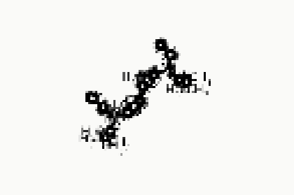 CC1(C)CC(C)(C)c2cc(-c3nc(-c4cccc(-c5ccccc5)c4)nc(-c4ccc5c(c4)Oc4cc(-c6ccc7c(c6)C(C)(C)c6cc(-c8nc(-c9ccc(-c%10ccccc%10)cc9)nc(-c9ccc%10c(c9)C(C)(C)CC%10(C)C)n8)ccc6O7)ccc4C5(C)C)n3)ccc21